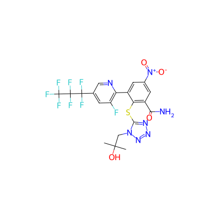 CC(C)(O)Cn1nnnc1Sc1c(C(N)=O)cc([N+](=O)[O-])cc1-c1ncc(C(F)(F)C(F)(F)C(F)(F)F)cc1F